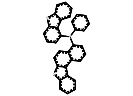 c1ccc(N(c2cccc3c2ccc2sc4ccccc4c23)c2cccc3sc4ccccc4c23)cc1